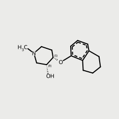 CN1CC[C@H](Oc2cccc3c2CCCC3)[C@H](O)C1